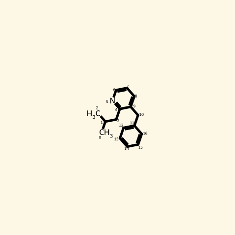 CC(C)Cc1ncccc1Cc1ccccc1